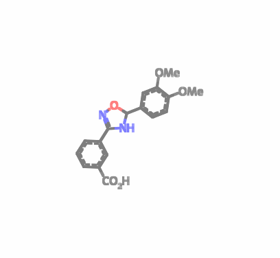 COc1ccc(C2NC(c3cccc(C(=O)O)c3)=NO2)cc1OC